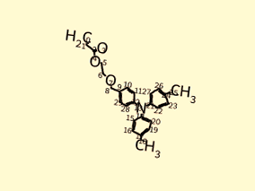 C=CC(=O)OCCOCc1ccc(N(c2ccc(C)cc2)c2ccc(C)cc2)cc1